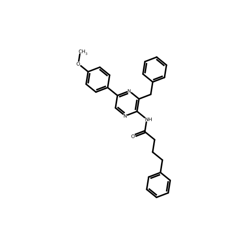 COc1ccc(-c2cnc(NC(=O)CCCc3ccccc3)c(Cc3ccccc3)n2)cc1